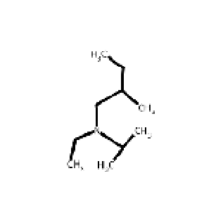 CCC(C)CN(CC)C(C)C